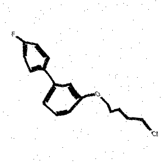 Fc1ccc(-c2c[c]cc(OCCCCCl)c2)cc1